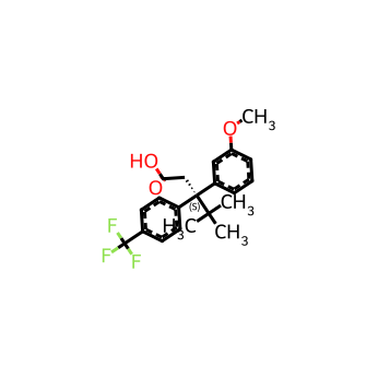 COc1cccc([C@](CC(=O)O)(c2ccc(C(F)(F)F)cc2)C(C)(C)C)c1